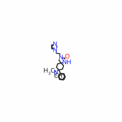 CN(C)C1(c2ccccc2)CCC2(CC1)CN(CCn1ccnc1)C(=O)N2